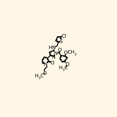 COCCn1cccc(-c2cc(NCc3ccc(Cl)s3)n(C(=O)c3ccc(OC)cc3OC)n2)c1=O